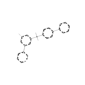 CC(C)(c1ccc(-c2ccccc2)cc1)c1cc(Br)cc(-c2cccnc2)c1